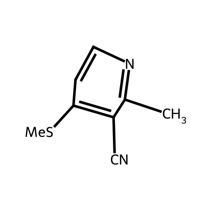 CSc1ccnc(C)c1C#N